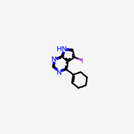 Ic1c[nH]c2ncnc(C3=CCCCC3)c12